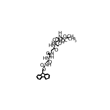 CC(C)(C)OC(=O)N[C@H]1CO[C@H]2[C@@H]1OC[C@@H]2NC(=O)CNC(=O)CNC(=O)CNC(=O)OCC1c2ccccc2-c2ccccc21